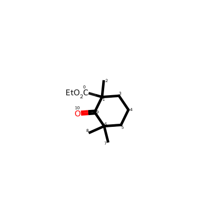 CCOC(=O)C1(C)CCCC(C)(C)C1=O